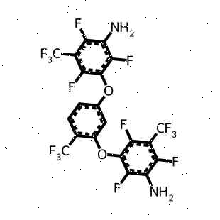 Nc1c(F)c(Oc2ccc(C(F)(F)F)c(Oc3c(F)c(N)c(F)c(C(F)(F)F)c3F)c2)c(F)c(C(F)(F)F)c1F